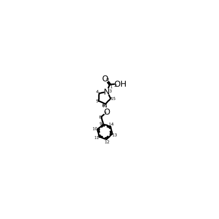 O=C(O)N1CC[C@@H](OCc2ccccc2)C1